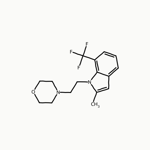 Cc1cc2cccc(C(F)(F)F)c2n1CCN1CCOCC1